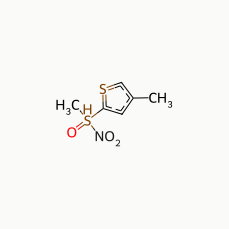 Cc1csc([SH](C)(=O)[N+](=O)[O-])c1